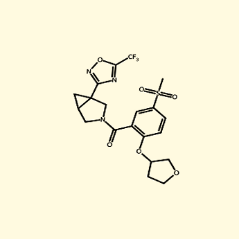 CS(=O)(=O)c1ccc(OC2CCOC2)c(C(=O)N2CC3CC3(c3noc(C(F)(F)F)n3)C2)c1